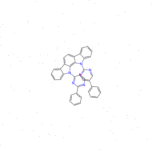 c1ccc(-c2cnc(-n3c4ccccc4c4ccc5c6ccccc6n(-c6ccnc(-c7ccccc7)n6)c5c43)nc2)cc1